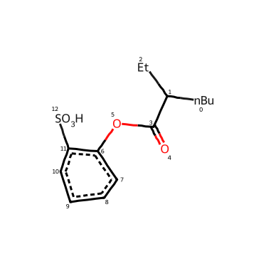 CCCCC(CC)C(=O)Oc1ccccc1S(=O)(=O)O